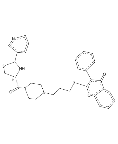 O=C([C@@H]1CSC(c2cccnc2)N1)N1CCN(CCCSc2oc3ccccc3c(=O)c2-c2ccccc2)CC1